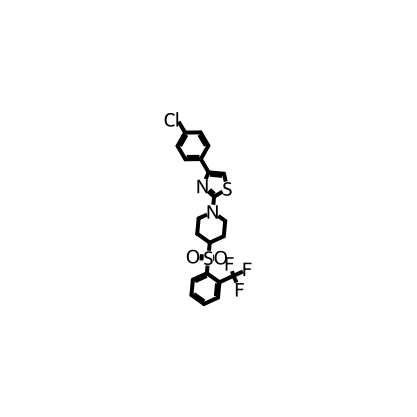 O=S(=O)(c1ccccc1C(F)(F)F)C1CCN(c2nc(-c3ccc(Cl)cc3)cs2)CC1